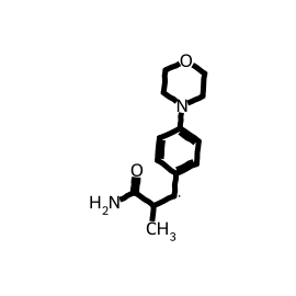 CC([CH]c1ccc(N2CCOCC2)cc1)C(N)=O